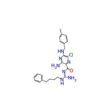 N/C(=N\C(=O)c1nc(Cl)c(NCc2ccc(I)cc2)nc1N)NCCCCc1ccccc1